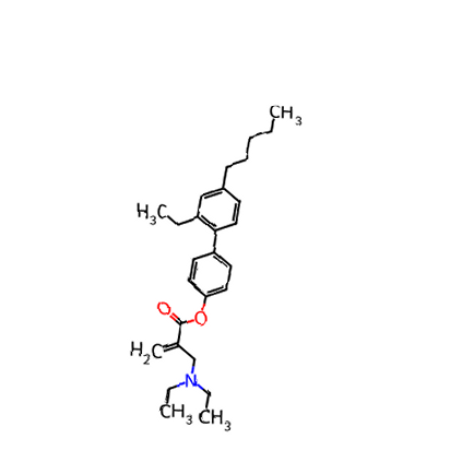 C=C(CN(CC)CC)C(=O)Oc1ccc(-c2ccc(CCCCC)cc2CC)cc1